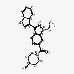 O=C(c1cc2c(cn1)c(C1=COC3C=CC=CC13)nn2CC(F)(F)F)N1CCC(F)CC1